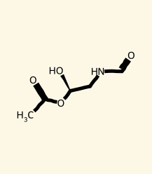 CC(=O)O[C@@H](O)CNC=O